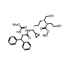 COC(=O)N[C@H](C(=O)N[C@H](CCC[C@@H](CO)N(CCC(C)C)C(=O)OC(C)(C)C)C1CC1)C(c1ccccc1)c1ccccc1